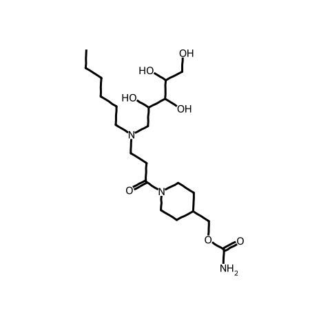 CCCCCCN(CCC(=O)N1CCC(COC(N)=O)CC1)CC(O)C(O)C(O)CO